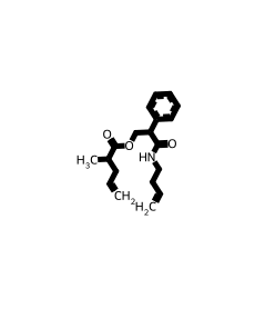 C=CCCNC(=O)C(COC(=O)C(C)CC=C)c1ccccc1